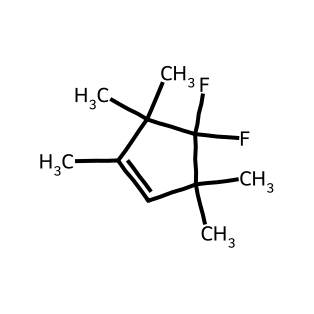 CC1=CC(C)(C)C(F)(F)C1(C)C